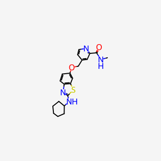 CNC(=O)c1cc(COc2ccc3nc(NC4CCCCC4)sc3c2)ccn1